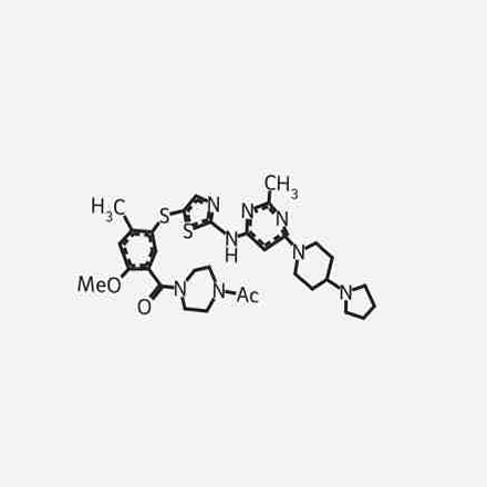 COc1cc(C)c(Sc2cnc(Nc3cc(N4CCC(N5CCCC5)CC4)nc(C)n3)s2)cc1C(=O)N1CCN(C(C)=O)CC1